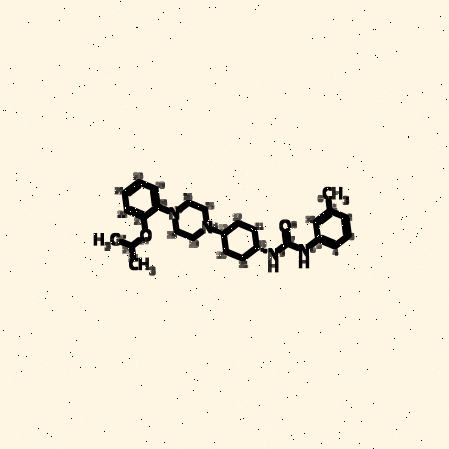 Cc1cccc(NC(=O)N[C@H]2CC[C@H](N3CCN(c4ccccc4OC(C)C)CC3)CC2)c1